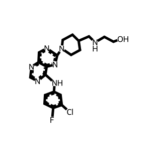 OCCNCC1CCN(c2ncc3ncnc(Nc4ccc(F)c(Cl)c4)c3n2)CC1